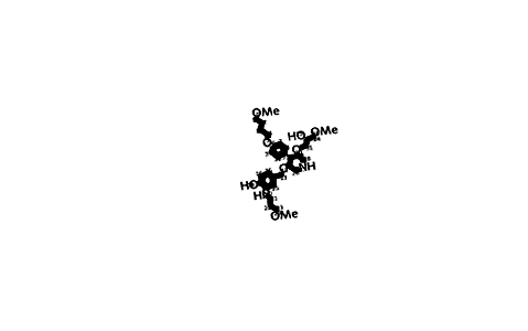 COCCCCOc1ccc([C@@H]2[C@@H](OCc3ccc(O)c(NCCCOC)c3)CNC[C@H]2OCC(O)COC)cc1